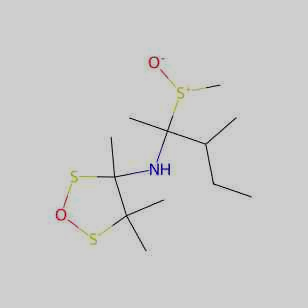 CCC(C)C(C)(NC1(C)SOSC1(C)C)[S+](C)[O-]